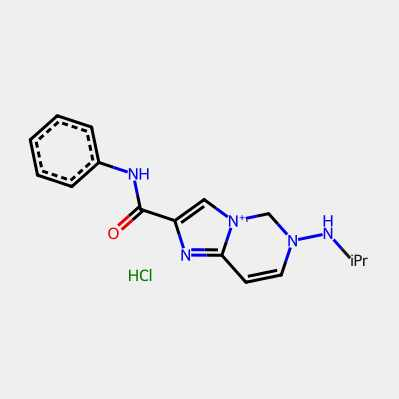 CC(C)NN1C=CC2=NC(C(=O)Nc3ccccc3)=C[N+]2C1.Cl